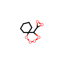 C1CCC2(CC1)OOOOC2C1OO1